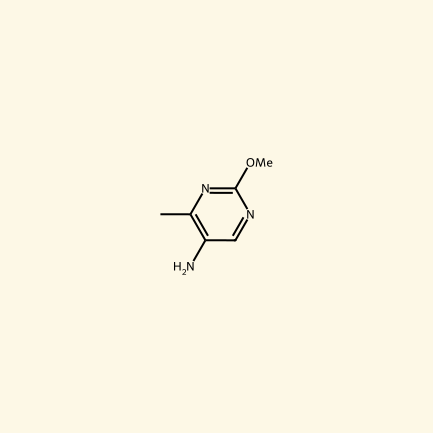 COc1ncc(N)c(C)n1